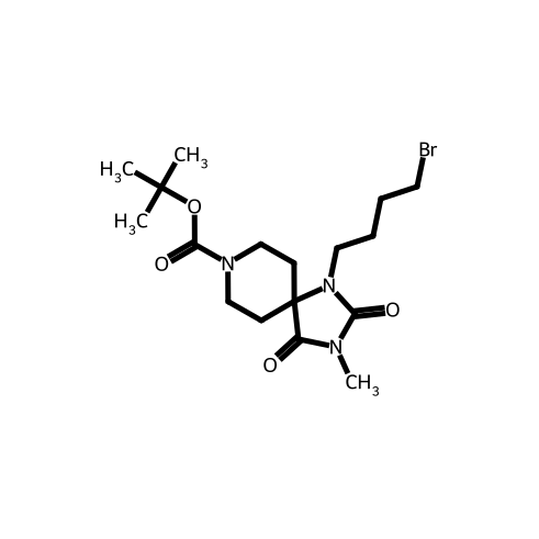 CN1C(=O)N(CCCCBr)C2(CCN(C(=O)OC(C)(C)C)CC2)C1=O